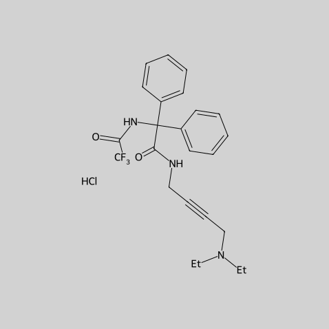 CCN(CC)CC#CCNC(=O)C(NC(=O)C(F)(F)F)(c1ccccc1)c1ccccc1.Cl